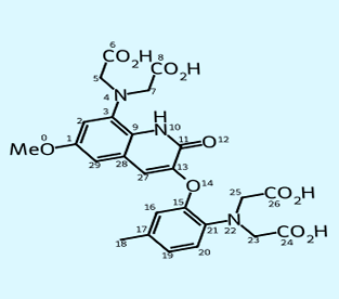 COc1cc(N(CC(=O)O)CC(=O)O)c2[nH]c(=O)c(Oc3cc(C)ccc3N(CC(=O)O)CC(=O)O)cc2c1